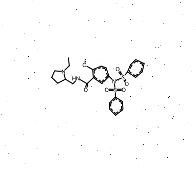 CCN1CCCC1CNC(=O)c1cc(N(S(=O)(=O)c2ccccc2)S(=O)(=O)c2ccccc2)ccc1OC